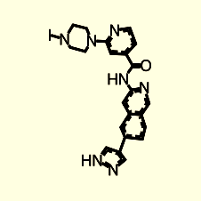 O=C(Nc1cc2cc(-c3cn[nH]c3)ccc2cn1)c1ccnc(N2CCN(I)CC2)c1